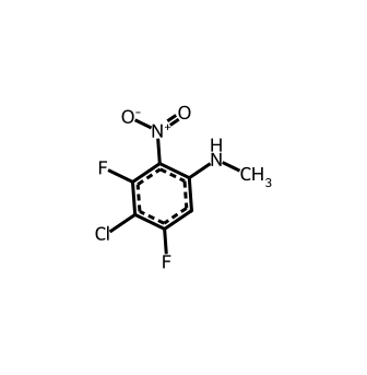 CNc1cc(F)c(Cl)c(F)c1[N+](=O)[O-]